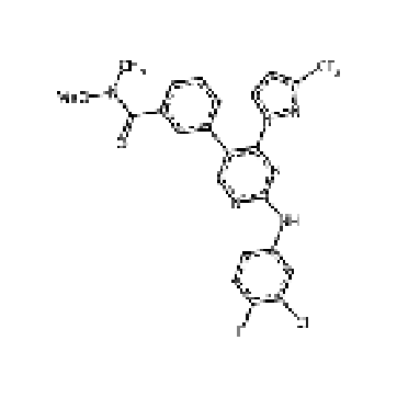 CON(C)C(=O)c1cccc(-c2cnc(Nc3ccc(F)c(Cl)c3)nc2-n2ccc(C(F)(F)F)n2)c1